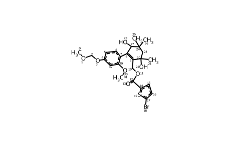 COCOc1ccc(C2=C(COC(=O)c3ccc(Br)s3)C(C)(O)CC(C)(C)C2O)c(OC)c1